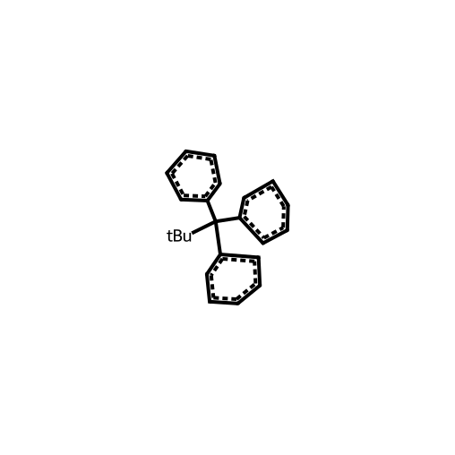 CC(C)(C)C(c1ccccc1)(c1ccccc1)c1ccccc1